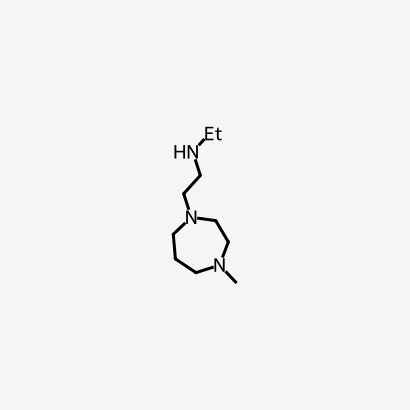 CCNCCN1CCCN(C)CC1